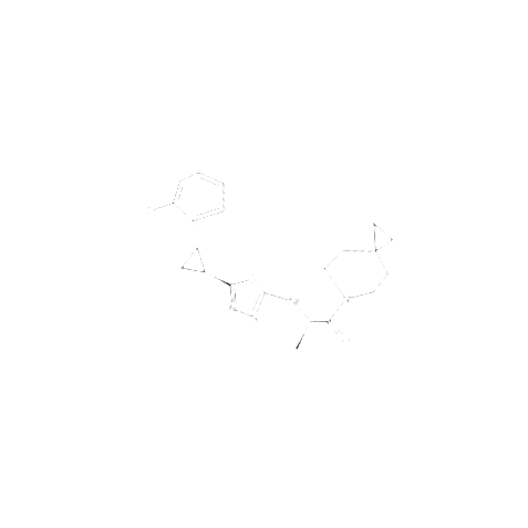 C[C@@H](Nc1nnc([C@H]2C[C@@H]2c2ccccc2F)o1)C(=O)N1CCC2(CC1)CC2